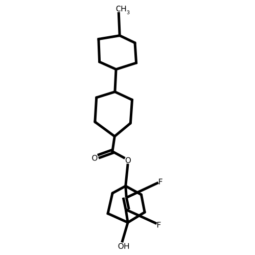 CC1CCC(C2CCC(C(=O)OC34CCC(O)(CC3)C(F)=C4F)CC2)CC1